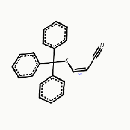 N#C/C=C\SC(c1ccccc1)(c1ccccc1)c1ccccc1